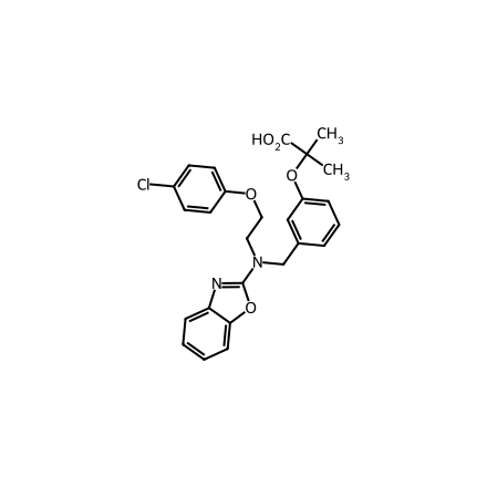 CC(C)(Oc1cccc(CN(CCOc2ccc(Cl)cc2)c2nc3ccccc3o2)c1)C(=O)O